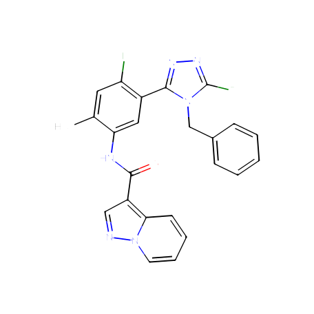 Cc1cc(F)c(-c2nnc(F)n2Cc2ccccc2)cc1NC(=O)c1cnn2ccccc12